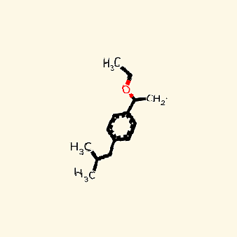 [CH2]C(OCC)c1ccc(CC(C)C)cc1